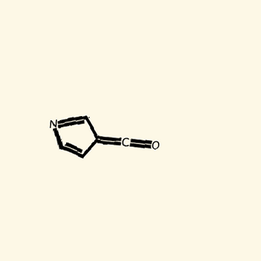 O=C=C1[C]=NC=C1